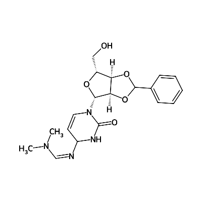 CN(C)/C=N\C1C=CN([C@@H]2O[C@H](CO)[C@H]3OC(c4ccccc4)O[C@H]32)C(=O)N1